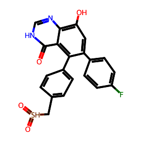 O=c1[nH]cnc2c(O)cc(-c3ccc(F)cc3)c(-c3ccc(C[SH](=O)=O)cc3)c12